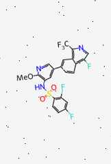 COc1ncc(-c2ccc3c(F)cnc(C(F)(F)F)c3c2)cc1NS(=O)(=O)c1ccc(F)cc1F